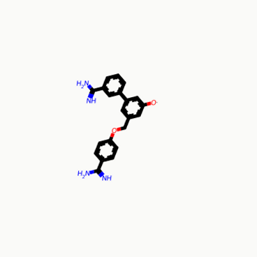 N=C(N)c1ccc(OCc2cc([O])cc(-c3cccc(C(=N)N)c3)c2)cc1